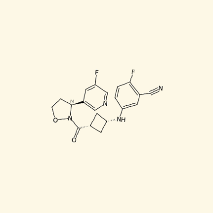 N#Cc1cc(N[C@H]2C[C@@H](C(=O)N3OCC[C@H]3c3cncc(F)c3)C2)ccc1F